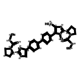 CCn1c([C@@H]2CCCN2C(=O)OC(C)(C)C)nc(C(=O)O)c1-c1ccc(-c2ccc(-c3cnc([C@@H]4CCCN4C(=O)OC(C)(C)C)[nH]3)cc2)cc1